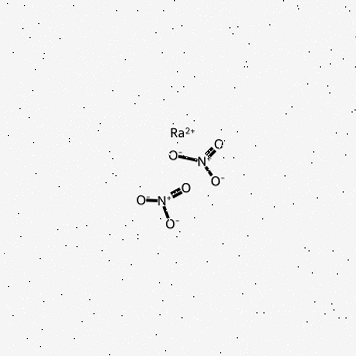 O=[N+]([O-])[O-].O=[N+]([O-])[O-].[Ra+2]